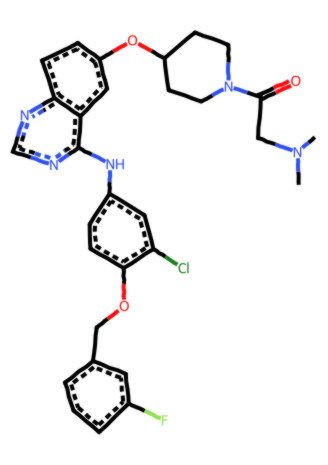 CN(C)CC(=O)N1CCC(Oc2ccc3ncnc(Nc4ccc(OCc5cccc(F)c5)c(Cl)c4)c3c2)CC1